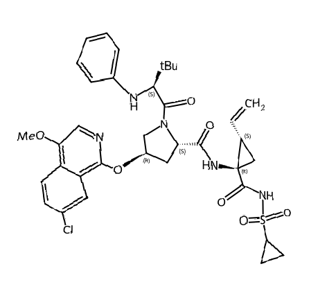 C=C[C@@H]1C[C@]1(NC(=O)[C@@H]1C[C@@H](Oc2ncc(OC)c3ccc(Cl)cc23)CN1C(=O)[C@@H](Nc1ccccc1)C(C)(C)C)C(=O)NS(=O)(=O)C1CC1